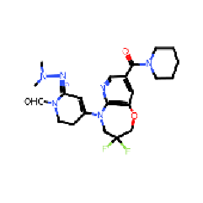 CN(C)/N=C1/C=C(N2CC(F)(F)COc3cc(C(=O)N4CCCCC4)cnc32)CCN1C=O